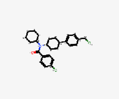 O=C(c1ccc(Cl)cc1)N(C1CCCCC1)[C@H]1CC[C@H](c2ccc(CCl)cc2)CC1